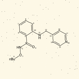 CCCCONC(=O)c1ccccc1NCc1ccncc1